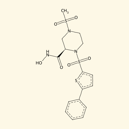 CS(=O)(=O)N1CCN(S(=O)(=O)c2ccc(-c3ccccc3)s2)[C@@H](C(=O)NO)C1